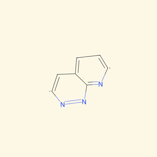 [c]1cc2cc[c]nc2nn1